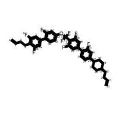 C=CCCc1c(F)cc(-c2ccc(OC(F)(F)c3c(F)cc(-c4ccc(C5CCC(CCC=C)CC5)cc4F)cc3F)cc2F)cc1F